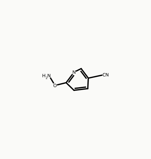 N#Cc1ccc(ON)nc1